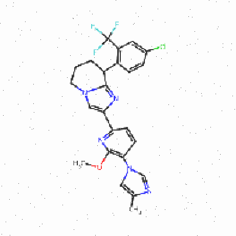 COc1nc(-c2cn3c(n2)C(c2ccc(Cl)cc2C(F)(F)F)CCC3)ccc1-n1cnc(C)c1